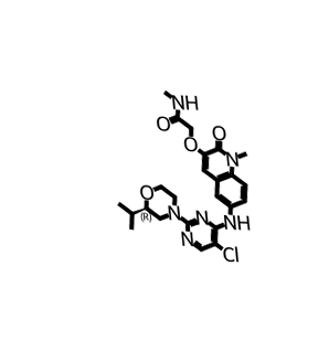 CNC(=O)COc1cc2cc(Nc3nc(N4CCO[C@H](C(C)C)C4)ncc3Cl)ccc2n(C)c1=O